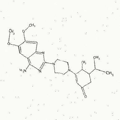 COc1cc2nc(N3CCN(C4=CC(=O)CC(C(C)C)C4C)CC3)nc(N)c2cc1OC